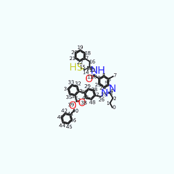 CCCc1nc2c(C)cc(C(=O)N[C@@H](CS)Cc3ccccc3)cc2n1Cc1ccc(-c2ccccc2C(=O)OCc2ccccc2)cc1